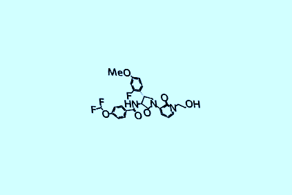 COc1ccc([C@@H]2CN(c3cccn(CCO)c3=O)C(=O)[C@H]2NC(=O)c2ccc(OC(F)F)cc2)c(F)c1